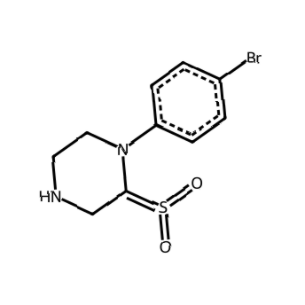 O=S(=O)=C1CNCCN1c1ccc(Br)cc1